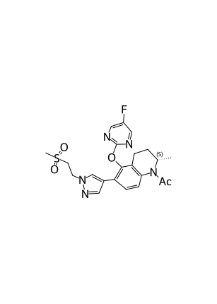 CC(=O)N1c2ccc(-c3cnn(CCS(C)(=O)=O)c3)c(Oc3ncc(F)cn3)c2CC[C@@H]1C